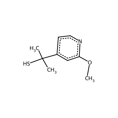 COc1cc(C(C)(C)S)ccn1